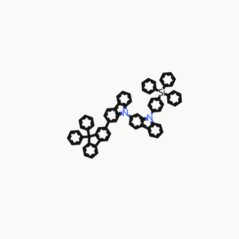 c1ccc(C2(c3ccccc3)c3ccccc3-c3ccc(-c4ccc5c6ccccc6n(-c6ccc7c8ccccc8n(-c8ccc([Si](c9ccccc9)(c9ccccc9)c9ccccc9)cc8)c7c6)c5c4)cc32)cc1